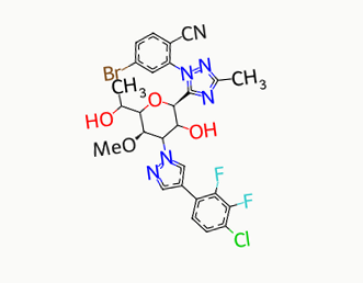 CO[C@H]1C(C(C)O)O[C@@H](c2nc(C)nn2-c2cc(Br)ccc2C#N)C(O)C1n1cc(-c2ccc(Cl)c(F)c2F)cn1